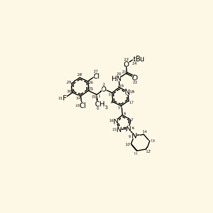 C[C@H](Oc1cc(-c2cn(N3CCCCC3)nn2)cnc1NC(=O)OC(C)(C)C)c1c(Cl)ccc(F)c1Cl